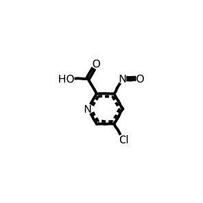 O=Nc1cc(Cl)cnc1C(=O)O